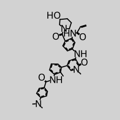 C=CC(=O)Nc1cc(Nc2cc(-c3cccc(NC(=O)c4ccc(N(C)C)cc4)c3C)cn(C)c2=O)ccc1C(=O)N1CCCC(O)C1